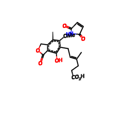 COc1c(C)c2c(c(O)c1C/C=C(\C)CCC(=O)O)C(=O)OC2.O=C1C=CC(=O)N1